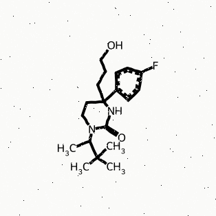 CC(N1CCC(CCCO)(c2ccc(F)cc2)NC1=O)C(C)(C)C